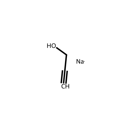 C#CCO.[Na]